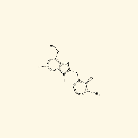 Cn1c(Cn2cccc(N)c2=O)nc2c(CC(C)(C)C)cc(F)cc21